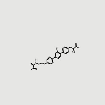 C=C(C)C(=C)NCCCc1ccc(-c2ccc(-c3ccc(CC(=O)C(=C)C)cc3)c(F)c2)cc1